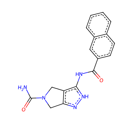 NC(=O)N1Cc2n[nH]c(NC(=O)c3ccc4ccccc4c3)c2C1